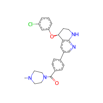 CN1CCN(C(=O)c2ccc(-c3cnc4c(c3)[C@@H](Oc3cccc(Cl)c3)CCN4)cc2)CC1